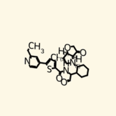 CCc1cc(-c2ccc(C(=O)NC(C=O)C3CCCC[C@@H]3N3C[C@H](Cl)[C@H]4OCC(=O)[C@H]43)s2)ccn1